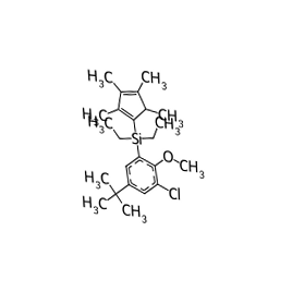 CC[Si](CC)(C1=C(C)C(C)=C(C)C1C)c1cc(C(C)(C)C)cc(Cl)c1OC